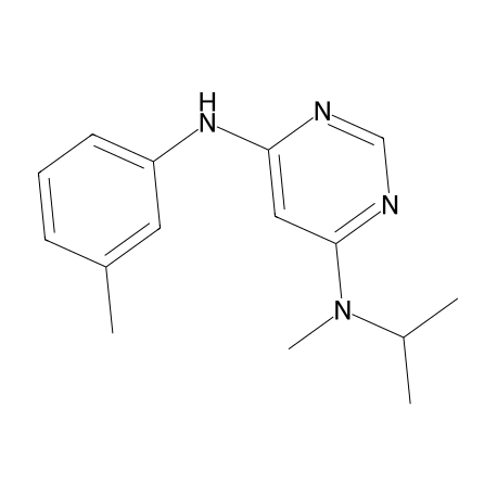 Cc1cccc(Nc2cc(N(C)C(C)C)ncn2)c1